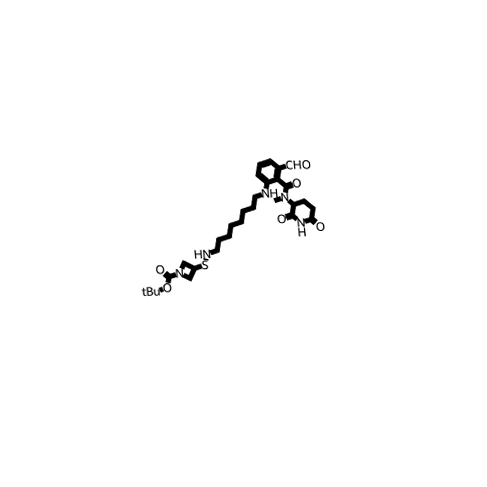 CN(C(=O)c1c(C=O)cccc1NCCCCCCCCNSC1CN(C(=O)OC(C)(C)C)C1)C1CCC(=O)NC1=O